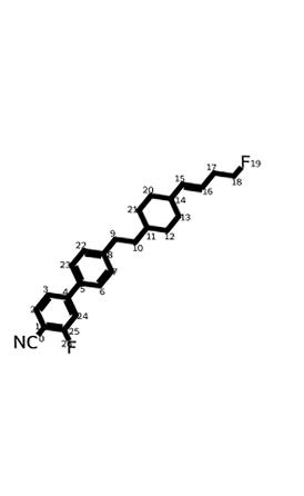 N#Cc1ccc(-c2ccc(CCC3CCC(/C=C/CCF)CC3)cc2)cc1F